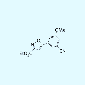 CCOC(=O)c1cc(-c2cc(C#N)cc(OC)c2)on1